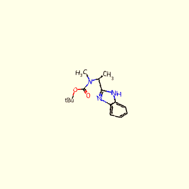 C[C@@H](c1nc2ccccc2[nH]1)N(C)C(=O)OC(C)(C)C